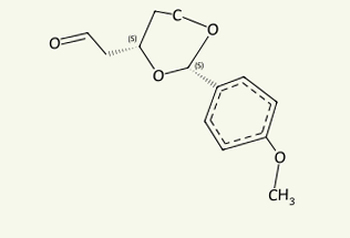 COc1ccc([C@H]2OCC[C@@H](CC=O)O2)cc1